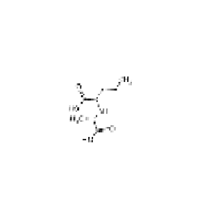 CCCC(N[C@@H](C)C(=O)O)C(=O)O